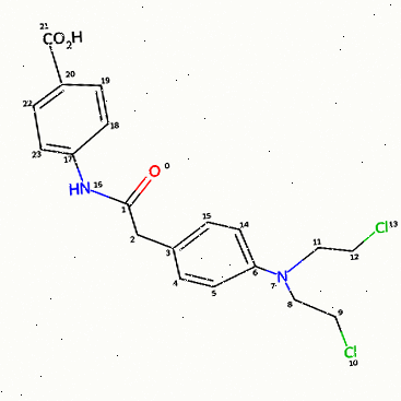 O=C(Cc1ccc(N(CCCl)CCCl)cc1)Nc1ccc(C(=O)O)cc1